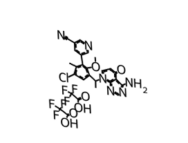 COc1c(C(C)n2ccc(=O)c3c(N)ncnc32)cc(Cl)c(C)c1-c1cncc(C#N)c1.O=C(O)C(F)(F)F.O=C(O)C(F)(F)F